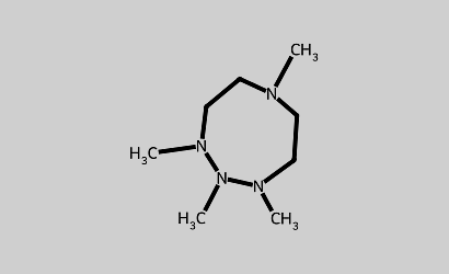 CN1CCN(C)N(C)N(C)CC1